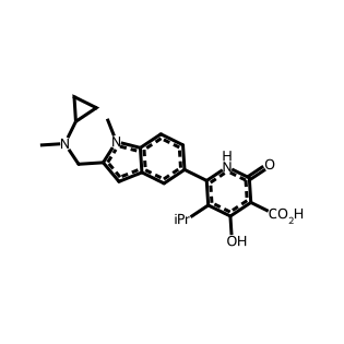 CC(C)c1c(-c2ccc3c(c2)cc(CN(C)C2CC2)n3C)[nH]c(=O)c(C(=O)O)c1O